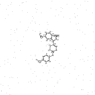 COc1ccc(CN2CC=C(c3c[nH]c4ccc(OC)cc34)CC2)cc1